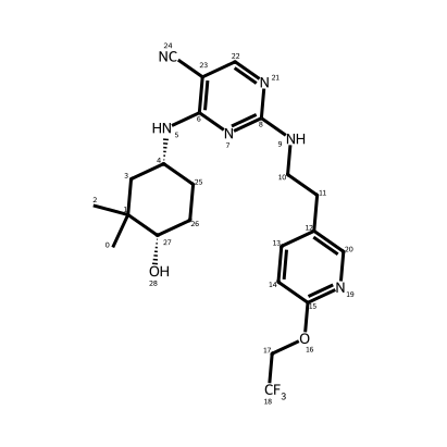 CC1(C)C[C@H](Nc2nc(NCCc3ccc(OCC(F)(F)F)nc3)ncc2C#N)CC[C@@H]1O